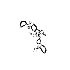 CCn1c2ccccc2c2cc(/C=C/C34OC(=O)CCN3c3ccc(S(=O)(=O)c5ccccc5)cc3C4(C)C)ccc21